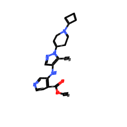 COC(=O)c1ccncc1Nc1cnn(C2CCN(C3CCC3)CC2)c1C